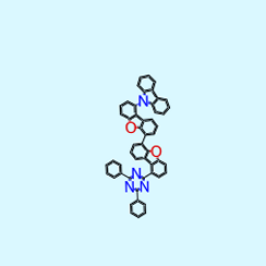 c1ccc(-c2nc(-c3ccccc3)nc(-c3cccc4oc5c(-c6cccc7c6oc6cccc(-n8c9ccccc9c9ccccc98)c67)cccc5c34)n2)cc1